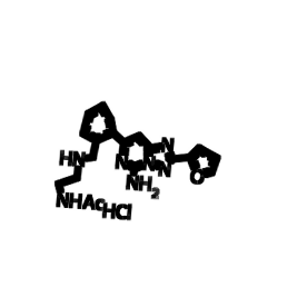 CC(=O)NCCNCc1ccccc1-c1cc2nc(-c3ccco3)nn2c(N)n1.Cl